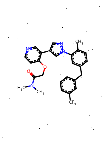 Cc1ccc(Cc2cccc(C(F)(F)F)c2)cc1-n1cc(-c2cnccc2OCC(=O)N(C)C)cn1